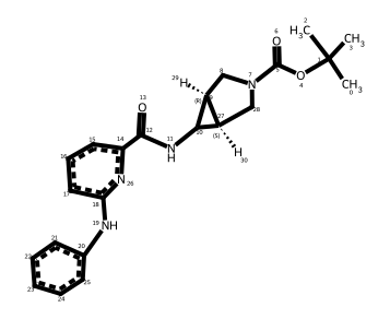 CC(C)(C)OC(=O)N1C[C@@H]2C(NC(=O)c3cccc(Nc4ccccc4)n3)[C@@H]2C1